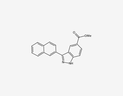 COC(=O)c1ccc2[nH]nc(-c3ccc4ccccc4c3)c2c1